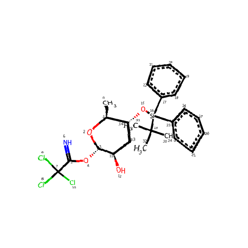 C[C@@H]1O[C@@H](OC(=N)C(Cl)(Cl)Cl)[C@H](O)C[C@H]1O[Si](c1ccccc1)(c1ccccc1)C(C)(C)C